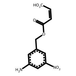 Nc1cc(COC(=O)/C=C\C(=O)O)cc([N+](=O)[O-])c1